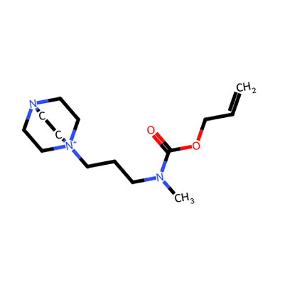 C=CCOC(=O)N(C)CCC[N+]12CCN(CC1)CC2